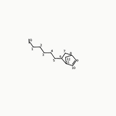 ICCCCCC1CC2C=CC1C2